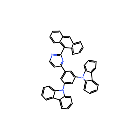 c1ccc2c(-c3nccc(-c4cc(-n5c6ccccc6c6ccccc65)cc(-n5c6ccccc6c6ccccc65)c4)n3)c3ccccc3cc2c1